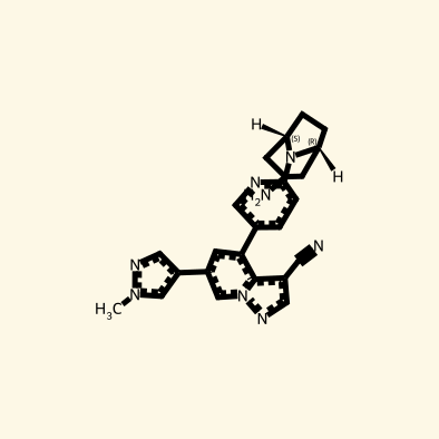 Cn1cc(-c2cc(-c3ccc(N4[C@@H]5CC[C@H]4CC(N)C5)nc3)c3c(C#N)cnn3c2)cn1